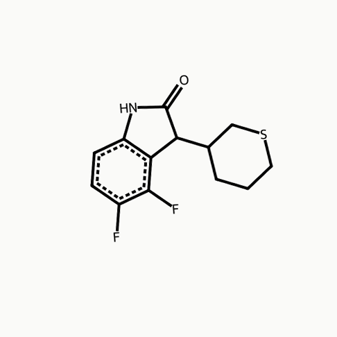 O=C1Nc2ccc(F)c(F)c2C1C1CCCSC1